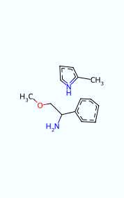 COCC(N)c1ccccc1.Cc1ccc[nH]1